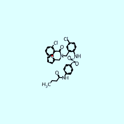 CCCC(=O)Nc1ccc(S(=O)(=O)Nc2ccc(Cl)cc2CN(Cc2ccco2)C(=O)c2ccccc2Cl)cc1